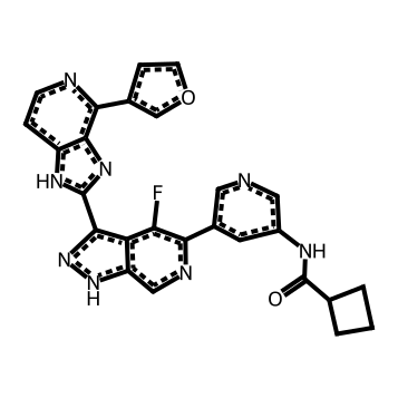 O=C(Nc1cncc(-c2ncc3[nH]nc(-c4nc5c(-c6ccoc6)nccc5[nH]4)c3c2F)c1)C1CCC1